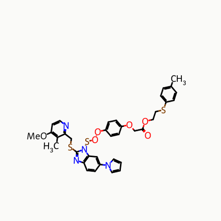 COc1ccnc(CSc2nc3ccc(-n4cccc4)cc3n2SOOc2ccc(OCC(=O)OCCSc3ccc(C)cc3)cc2)c1C